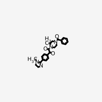 C[C@@H]1CN(C(=O)c2ccccc2)CCN1C(=O)C(=O)c1ccc(C2=NCCN2C)cc1